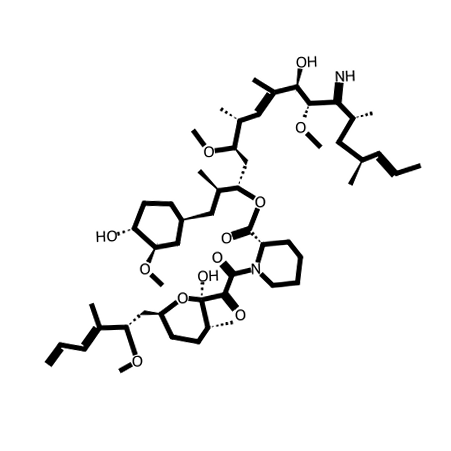 C=C/C=C(\C)[C@H](C[C@@H]1CC[C@@H](C)[C@](O)(C(=O)C(=O)N2CCCC[C@H]2C(=O)O[C@@H](C[C@@H](OC)[C@H](C)/C=C(\C)[C@@H](O)[C@@H](OC)C(=N)[C@H](C)C[C@H](C)/C=C/C)[C@H](C)C[C@@H]2CC[C@@H](O)[C@H](OC)C2)O1)OC